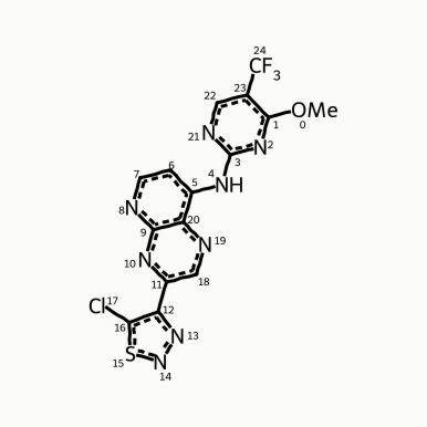 COc1nc(Nc2ccnc3nc(-c4nnsc4Cl)cnc23)ncc1C(F)(F)F